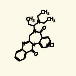 CCC(N(CC)CC)N1Cc2nc3ccccc3c(=O)n2-c2ccccc2C1=O.Cl